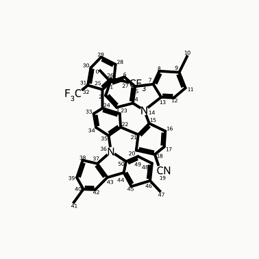 Cc1ccc2c(c1)c1cc(C)ccc1n2-c1ccc(C#N)cc1-c1cc(-c2c(C(F)(F)F)cccc2C(F)(F)F)ccc1-n1c2ccc(C)cc2c2cc(C)ccc21